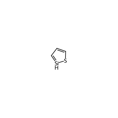 c1c[siH]sc1